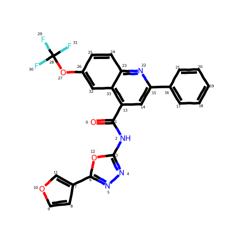 O=C(Nc1nnc(-c2ccoc2)o1)c1cc(-c2ccccc2)nc2ccc(OC(F)(F)F)cc12